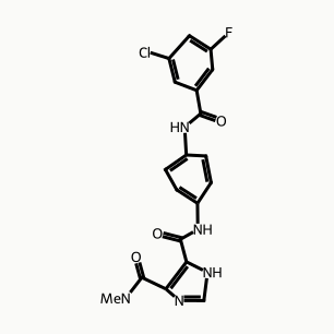 CNC(=O)c1nc[nH]c1C(=O)Nc1ccc(NC(=O)c2cc(F)cc(Cl)c2)cc1